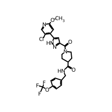 COc1cc(-c2cc(C(=O)N3CCC(C(=O)NCc4ccc(OC(F)(F)F)cc4)CC3)n[nH]2)c(Cl)cn1